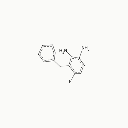 Nc1ncc(F)c(Cc2ccccc2)c1N